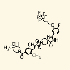 Cc1cc(C(=O)N2CCC(C)(O)CC2)cc(C)c1C=CS(=O)(=O)N1CCC2(CC1)N=C(c1ccc(F)c(OCCCC(F)(F)C(F)(F)F)c1)NC2=O